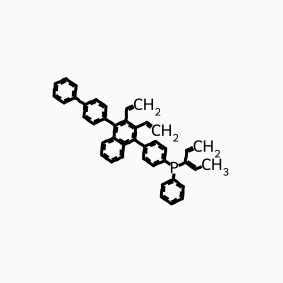 C=C/C(=C\C)P(c1ccccc1)c1ccc(-c2c(C=C)c(C=C)c(-c3ccc(-c4ccccc4)cc3)c3ccccc23)cc1